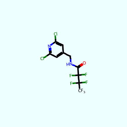 O=C(NCc1cc(Cl)nc(Cl)c1)C(F)(F)C(F)(F)C(F)(F)F